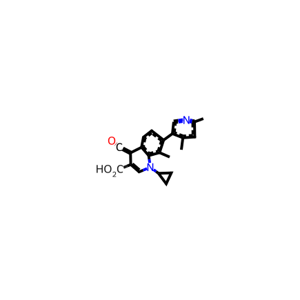 Cc1cc(C)c(-c2ccc3c(c2C)N(C2CC2)C=C(C(=O)O)C3=C=O)cn1